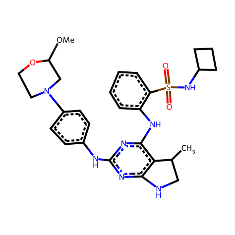 COC1CN(c2ccc(Nc3nc4c(c(Nc5ccccc5S(=O)(=O)NC5CCC5)n3)C(C)CN4)cc2)CCO1